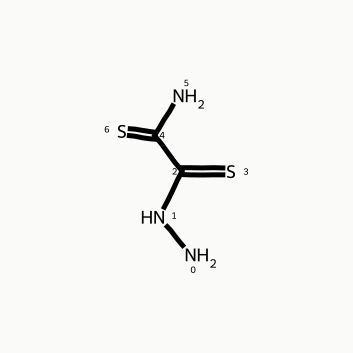 NNC(=S)C(N)=S